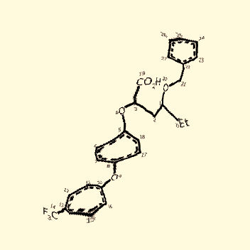 CCC(CC(Oc1ccc(Oc2ccc(C(F)(F)F)cc2)cc1)C(=O)O)OCc1ccccc1